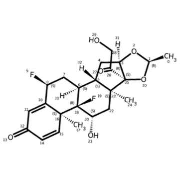 C[C@@H]1O[C@@H]2C[C@H]3[C@@H]4C[C@H](F)C5=CC(=O)C=C[C@]5(C)[C@@]4(F)[C@@H](O)C[C@]3(C)[C@]2(C(=O)CO)O1